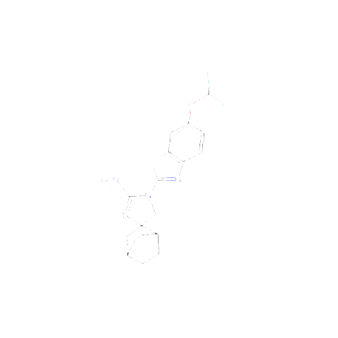 NC1=NC2(CC3CCC2CC3)CN1c1nc2ccc(OC(F)F)cc2s1